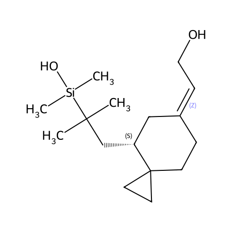 CC(C)(C[C@@H]1C/C(=C\CO)CCC12CC2)[Si](C)(C)O